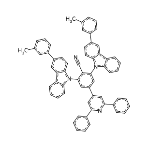 Cc1cccc(-c2ccc3c(c2)c2ccccc2n3-c2cc(-c3cc(-c4ccccc4)nc(-c4ccccc4)c3)cc(-n3c4ccccc4c4cc(-c5cccc(C)c5)ccc43)c2C#N)c1